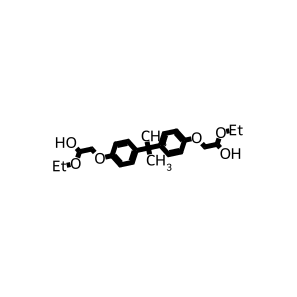 CCOC(O)COc1ccc(C(C)(C)c2ccc(OCC(O)OCC)cc2)cc1